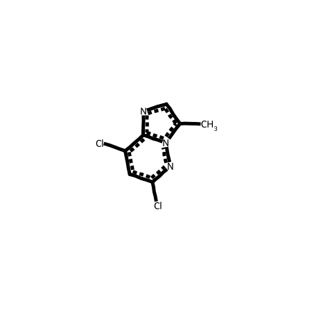 Cc1cnc2c(Cl)cc(Cl)nn12